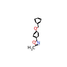 Cc1[c]nc(-c2ccc(OCc3ccccc3)cc2)o1